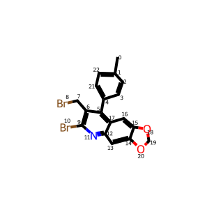 Cc1ccc(-c2c(CBr)c(Br)nc3cc4c(cc23)OCO4)cc1